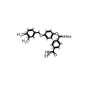 CCCCCCC(Oc1ccc(OCc2ccc(C)c(C)c2)cc1)c1ccc(C(=O)NCC)cc1